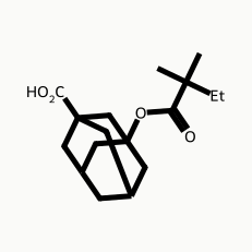 CCC(C)(C)C(=O)OC12CC3CC(C1)CC(C(=O)O)(C3)C2